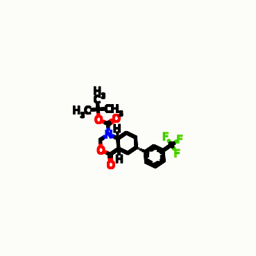 CC(C)(C)OC(=O)N1COC(=O)[C@H]2C[C@@H](c3cccc(C(F)(F)F)c3)CC[C@@H]21